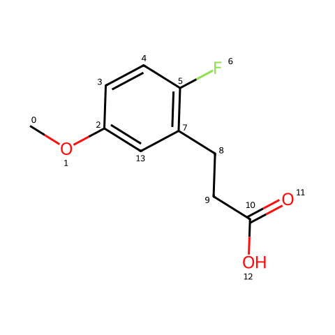 COc1ccc(F)c(CCC(=O)O)c1